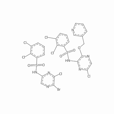 O=S(=O)(Nc1cnc(Br)c(Cl)n1)c1cccc(Cl)c1Cl.O=S(=O)(Nc1nc(Cl)cnc1OCc1cccnc1)c1cccc(Cl)c1Cl